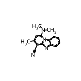 Cc1cc(N(C)C)n2c(nc3ccccc32)c1C#N